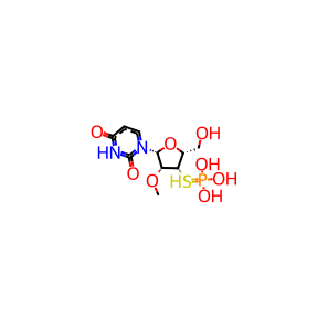 CO[C@H]1[C@@H]([SH]=P(O)(O)O)[C@@H](CO)O[C@H]1n1ccc(=O)[nH]c1=O